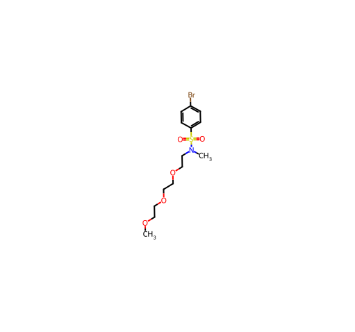 COCCOCCOCCN(C)S(=O)(=O)c1ccc(Br)cc1